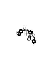 O=C(NCc1ccc(OC(Cc2ccccc2)C2=COCO2)cc1)c1ccc2ncccc2c1